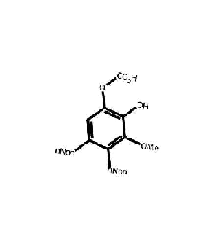 CCCCCCCCCc1cc(OC(=O)O)c(O)c(OC)c1CCCCCCCCC